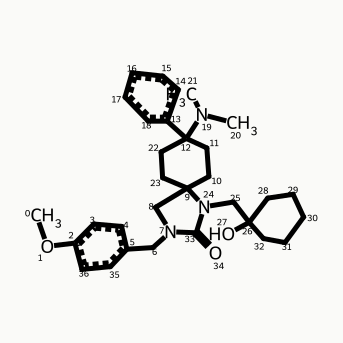 COc1ccc(CN2CC3(CCC(c4ccccc4)(N(C)C)CC3)N(CC3(O)CCCCC3)C2=O)cc1